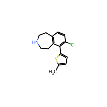 Cc1ccc(-c2c(Cl)ccc3c2CCNCC3)s1